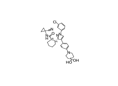 N#CC1(NC(=O)[C@@H]2CCCC[C@H]2c2nn(-c3cccc(Cl)c3)cc2-c2ccc(N3CCS(O)(O)CC3)cc2)CC1